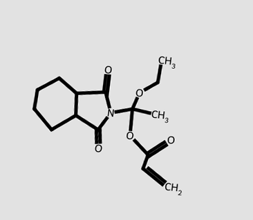 C=CC(=O)OC(C)(OCC)N1C(=O)C2CCCCC2C1=O